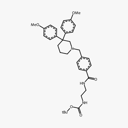 COc1ccc(C2(c3ccc(OC)cc3)CCCN(Cc3ccc(C(=O)NCCNC(=O)OC(C)(C)C)cc3)C2)cc1